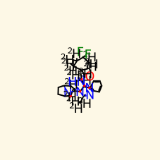 [2H]C([2H])([2H])c1nnc(C([2H])(C)C)n1C1CC2CCC(C1)N2C([2H])([2H])CC(NC(=O)C1([2H])C([2H])([2H])C([2H])([2H])C(F)(F)C([2H])([2H])C1([2H])[2H])c1ccccc1